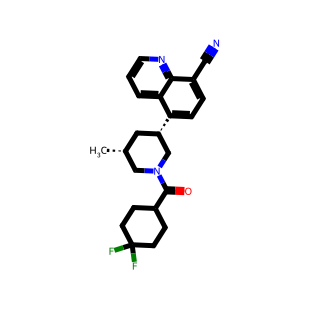 C[C@@H]1C[C@H](c2ccc(C#N)c3ncccc23)CN(C(=O)C2CCC(F)(F)CC2)C1